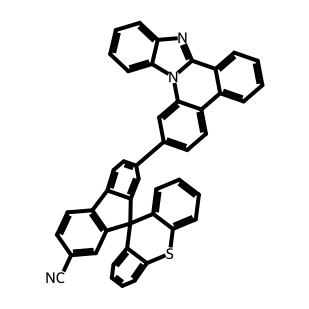 N#Cc1ccc2c(c1)C1(c3ccccc3Sc3ccccc31)c1cc(-c3ccc4c5ccccc5c5nc6ccccc6n5c4c3)ccc1-2